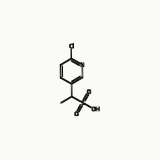 CC(c1ccc(Cl)nc1)S(=O)(=O)O